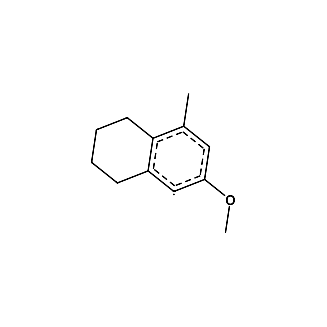 COc1[c]c2c(c(C)c1)CCCC2